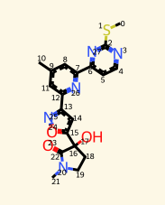 CSc1nccc(-c2cc(C)cc(-c3cc(C4(O)CCN(C)C4=O)on3)n2)n1